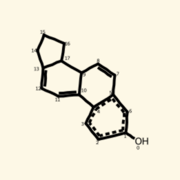 Oc1ccc2c(c1)C=CC1C2=CC=C2CCCC21